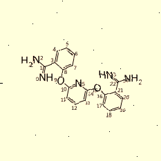 N=C(N)c1ccccc1Oc1cccc(Oc2ccccc2C(=N)N)n1